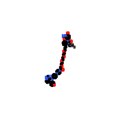 Cn1c(=O)n(C2CCC(=O)NC2=O)c2cccc(CCCOCCOCCOCCOCC(=O)N3CCN([C@H]4CC[C@H](Nc5ncnn6ccc(C7CCOCC7)c56)CC4)CC3)c21